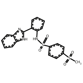 CS(=O)(=O)c1ccc(S(=O)(=O)Nc2ccccc2-c2nc3ccccc3[nH]2)cc1